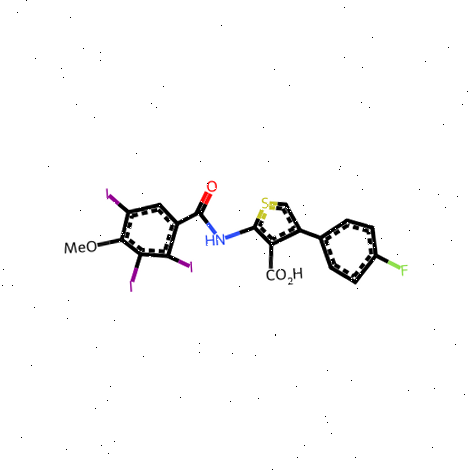 COc1c(I)cc(C(=O)Nc2scc(-c3ccc(F)cc3)c2C(=O)O)c(I)c1I